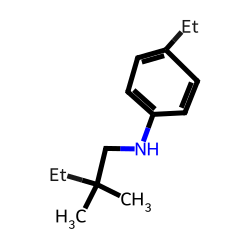 CCc1ccc(NCC(C)(C)CC)cc1